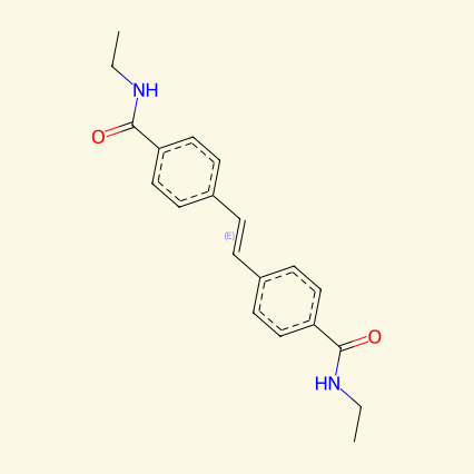 CCNC(=O)c1ccc(/C=C/c2ccc(C(=O)NCC)cc2)cc1